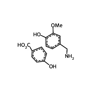 COc1cc(CN)ccc1O.O=C(O)c1ccc(O)cc1